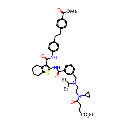 CCOC(=O)CCC(=O)N(CCN(Cc1cccc(C(=O)Nc2sc3c(c2C(=O)Nc2ccc(CCc4ccc(C(=O)OC)cc4)cc2)CCCC3)c1)C(CC)CC)C1CC1